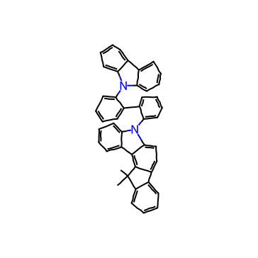 CC1(C)c2ccccc2-c2ccc3c(c21)c1ccccc1n3-c1ccccc1-c1ccccc1-n1c2ccccc2c2ccccc21